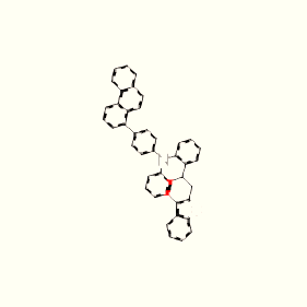 C1=CC(c2ccccc2N(c2ccccc2)c2ccc(-c3cccc4c3ccc3ccccc34)cc2)Cc2oc3ccccc3c21